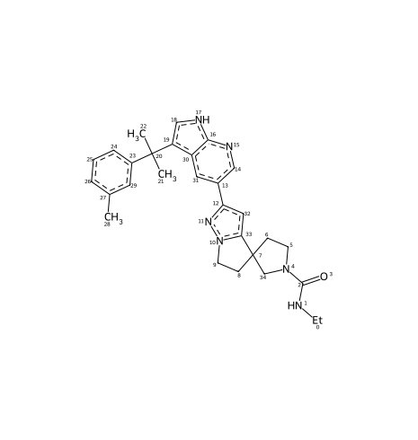 CCNC(=O)N1CCC2(CCn3nc(-c4cnc5[nH]cc(C(C)(C)c6cccc(C)c6)c5c4)cc32)C1